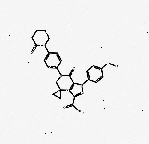 CCOc1ccc(-n2nc(C(N)=O)c3c2C(=O)N(c2ccc(N4CCCCC4=O)cc2)CC32CC2)cc1